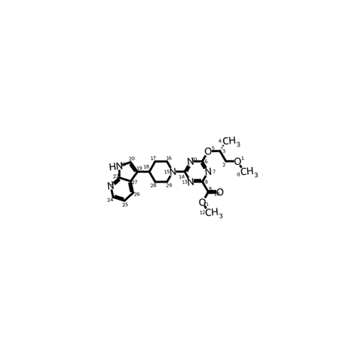 COC[C@@H](C)Oc1nc(C(=O)OC)nc(N2CCC(c3c[nH]c4ncccc34)CC2)n1